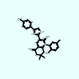 Cc1ccc(Cl)c(-n2c3c(cc(-c4nc(-c5ccc(Cl)cc5)cs4)c2=O)C(=O)CC(C)(C)C3)c1